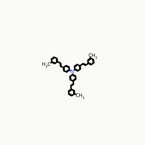 Cc1cccc(C=Cc2ccc(N(c3ccc(C=Cc4cccc(C)c4)cc3)c3ccc(C=Cc4cccc(C)c4)cc3)cc2)c1